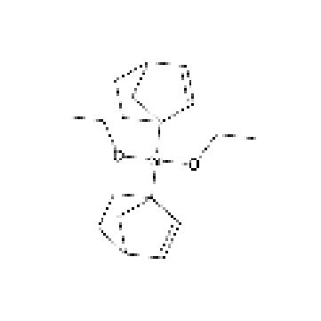 CCO[Si](OCC)(C12C=CC(CC1)C2)C12C=CC(CC1)C2